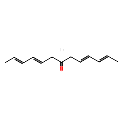 C/C=C/C=C/CC(=O)C/C=C/C=C/C.[Ru]